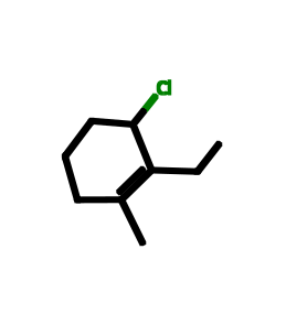 CCC1=C(C)CCCC1Cl